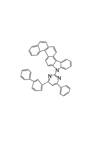 c1ccc(-c2cccc(-c3cc(-c4ccccc4)nc(-n4c5ccccc5c5c6ccc7ccc8ccccc8c7c6ccc54)n3)c2)cc1